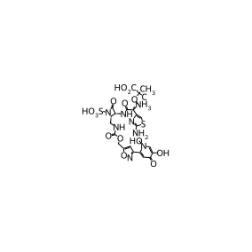 CC(C)(O/N=C(\C(=O)N[C@@H]1C(=O)N(S(=O)(=O)O)[C@@H]1CNC(=O)OCc1cc(-c2cc(=O)c(O)cn2O)no1)c1csc(N)n1)C(=O)O